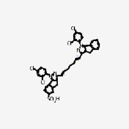 O=S(=O)(O)c1ccc2c(c1)Cc1c(/C=C/CCC/C=C/c3nn(-c4ccc(Cl)cc4Cl)c4c3Cc3ccccc3-4)nn(-c3ccc(Cl)cc3Cl)c1-2